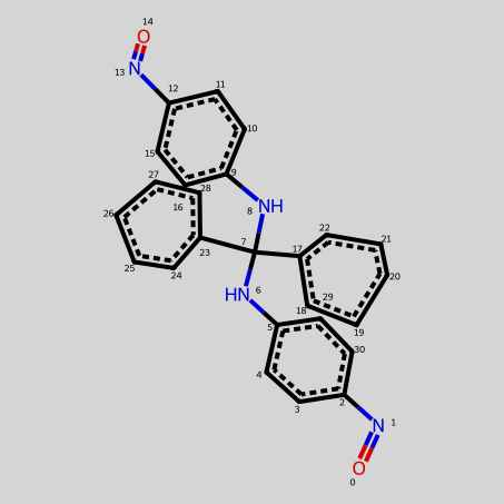 O=Nc1ccc(NC(Nc2ccc(N=O)cc2)(c2ccccc2)c2ccccc2)cc1